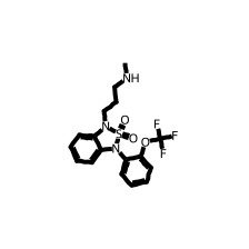 CNCCCN1c2ccccc2N(c2ccccc2OC(F)(F)F)S1(=O)=O